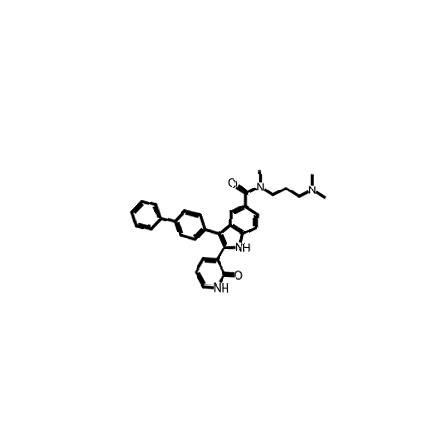 CN(C)CCCN(C)C(=O)c1ccc2[nH]c(-c3ccc[nH]c3=O)c(-c3ccc(-c4ccccc4)cc3)c2c1